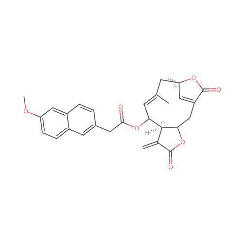 C=C1C(=O)OC2CC3=C[C@@H](C/C(C)=C/C(OC(=O)Cc4ccc5cc(OC)ccc5c4)[C@H]12)OC3=O